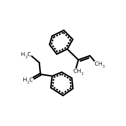 C=C(CC)c1ccccc1.CC=C(C)c1ccccc1